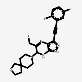 FCC1=Nc2c(C#Cc3cc(Cl)ccc3F)n[nH]c2NC1N1CCC2(CCOC2)CC1